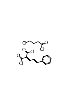 O=C(Cl)C(=CC=Cc1ccccc1)C(=O)Cl.O=C(Cl)CCCCl